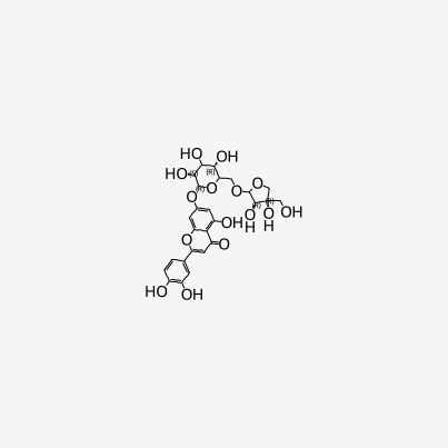 O=c1cc(-c2ccc(O)c(O)c2)oc2cc(O[C@H]3OC(COC4OC[C@](O)(CO)[C@H]4O)[C@H](O)C(O)[C@@H]3O)cc(O)c12